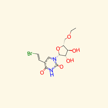 CCOC[C@H]1O[C@@H](n2cc(/C=C/Br)c(=O)[nH]c2=O)[C@@H](O)[C@@H]1O